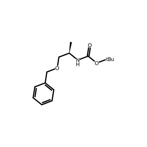 C[C@H](COCc1ccccc1)NC(=O)OC(C)(C)C